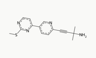 CSc1nccc(-c2ccc(C#CC(C)(C)N)nc2)n1